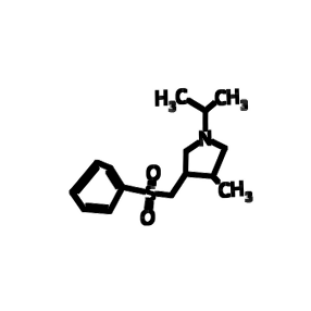 CC1CN(C(C)C)CC1CS(=O)(=O)c1ccccc1